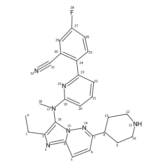 CCc1nc2ccc(C3CCNCC3)nn2c1N(C)c1cccc(-c2ccc(F)cc2C#N)n1